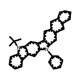 CC(C)(C)n1c2ccccc2c2cc3c(cc21)c1cc2cc4ccccc4cc2cc1n3-c1ccccc1